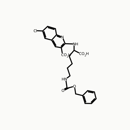 O=C(NCCCCC(Nc1nc2ccc(Cl)cc2cc1C(=O)O)C(=O)O)OCc1ccccc1